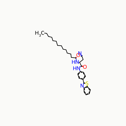 CCCCCCCCCCCCCC(=O)NC(CC#N)C(=O)Nc1ccc(-c2nc3ccccc3s2)cc1